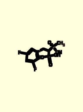 CP(=O)(O)C(C[n+]1cc(F)cc(F)c1)P(=O)(O)O